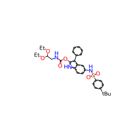 CCOC(CNC(=O)Oc1[nH]c2ccc(NS(=O)(=O)c3ccc(C(C)(C)C)cc3)cc2c1-c1ccccc1)OCC